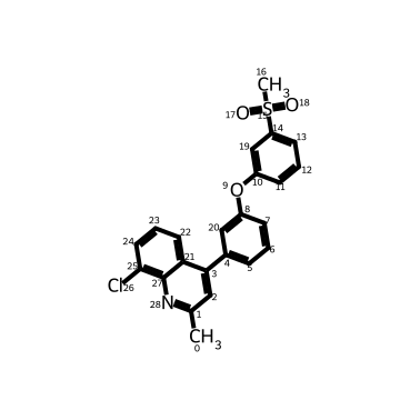 Cc1cc(-c2cccc(Oc3cccc(S(C)(=O)=O)c3)c2)c2cccc(Cl)c2n1